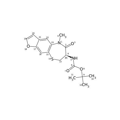 CN1C(=O)[C@@H](NC(=O)OC(C)(C)C)CSc2cc3occc3cc21